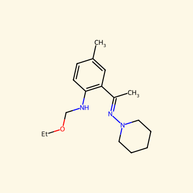 CCOCNc1ccc(C)cc1/C(C)=N/N1CCCCC1